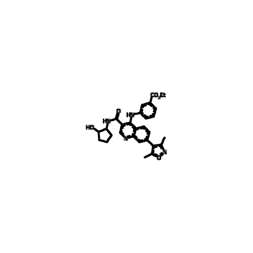 CCOC(=O)c1cccc(Nc2c(C(=O)NC3CCCC3O)cnc3cc(-c4c(C)noc4C)ccc23)c1